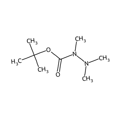 CN(C)N(C)C(=O)OC(C)(C)C